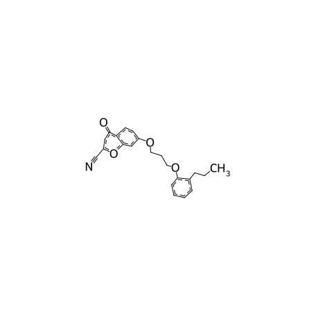 CCCc1ccccc1OCCCOc1ccc2c(=O)cc(C#N)oc2c1